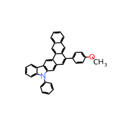 COc1ccc(-c2cc3cc4c(cc3c3cc5ccccc5cc23)c2ccccc2n4-c2ccccc2)cc1